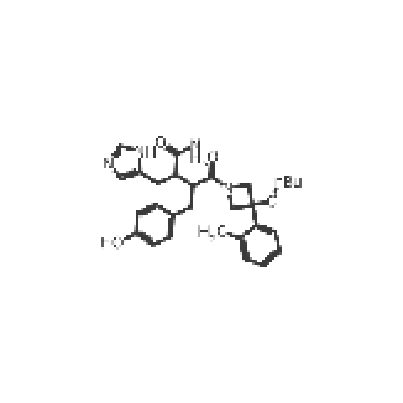 CCCCOC1(c2ccccc2C)CN(C(=O)C(Cc2ccc(O)cc2)C(Cc2cnc[nH]2)C(N)=O)C1